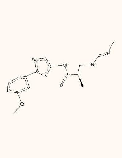 CN=CNC[C@@H](C)C(=O)Nc1cnc(-c2cccc(OC)c2)s1